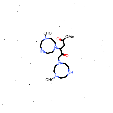 COC(=O)CC(C(=O)CN1CCNCCN(C=O)CC1)N1CCNCCN(C=O)CC1